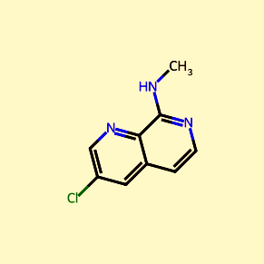 CNc1nccc2cc(Cl)cnc12